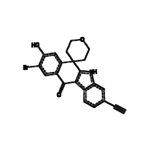 C#Cc1ccc2c3c([nH]c2c1)C1(CCOCC1)c1cc(O)c(Br)cc1C3=O